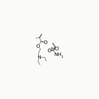 C=C(C)C(=O)OCCN(CC)CC.C=CC(N)=O.Cl